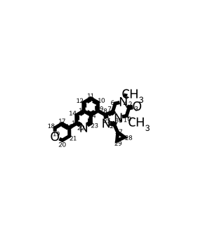 C[C@H]1C(=O)N(C)Cc2c(-c3cccc4cc(C5=CCOCC5)ncc34)nc(C3CC3)n21